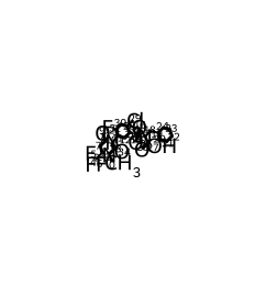 Cn1c(C(F)(F)F)cc(=O)n(-c2cc(S(=O)(=O)N(Cc3ccccc3)C(=O)O)c(Cl)cc2F)c1=O